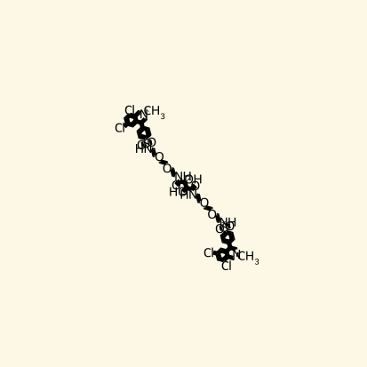 CN1Cc2c(Cl)cc(Cl)cc2C(c2ccc(S(=O)(=O)NCCOCCOCCNC(=O)C(O)[C@@H](O)C(=O)NCCOCCOCCNS(=O)(=O)c3ccc(C4CN(C)Cc5c(Cl)cc(Cl)cc54)cc3)cc2)C1